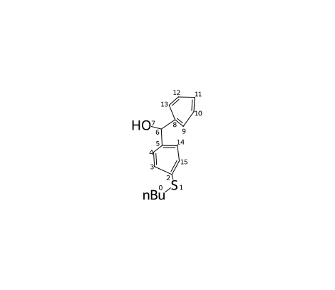 CCCCSc1ccc(C(O)c2ccccc2)cc1